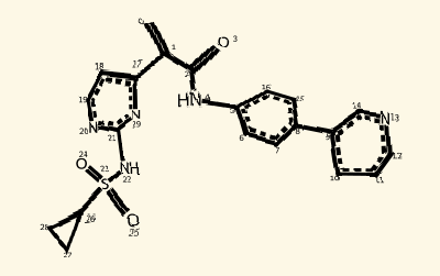 C=C(C(=O)Nc1ccc(-c2cccnc2)cc1)c1ccnc(NS(=O)(=O)C2CC2)n1